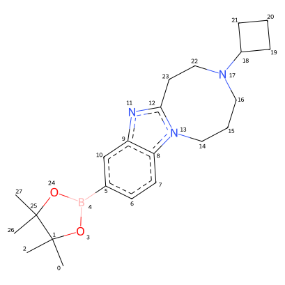 CC1(C)OB(c2ccc3c(c2)nc2n3CCCN(C3CCC3)CC2)OC1(C)C